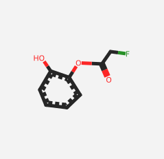 O=C(CF)Oc1ccccc1O